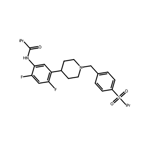 CC(C)C(=O)Nc1cc(C2CCN(Cc3ccc(S(=O)(=O)C(C)C)cc3)CC2)c(F)cc1F